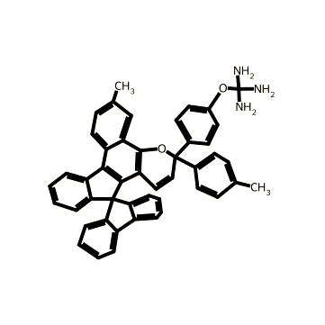 Cc1ccc(C2(c3ccc(OC(N)(N)N)cc3)C=Cc3c4c(c5ccc(C)cc5c3O2)-c2ccccc2C42c3ccccc3-c3ccccc32)cc1